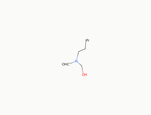 CC(C)CCN([C]=O)CO